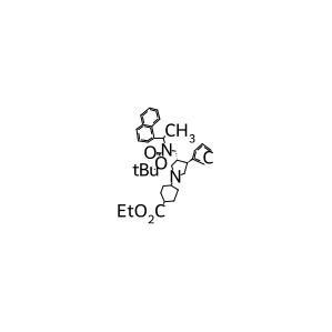 CCOC(=O)C1CCC(N2C[C@H](CN(C(=O)OC(C)(C)C)[C@H](C)c3cccc4ccccc34)[C@@H](c3ccccc3)C2)CC1